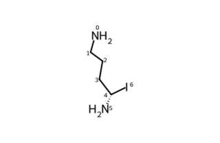 NCCC[C@@H](N)I